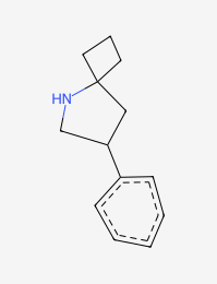 c1ccc(C2CNC3(CCC3)C2)cc1